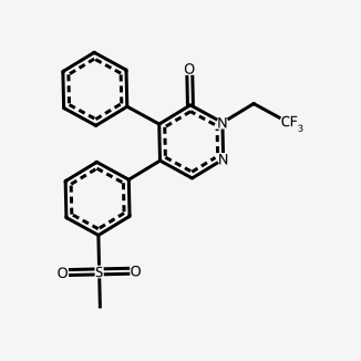 CS(=O)(=O)c1cccc(-c2cnn(CC(F)(F)F)c(=O)c2-c2ccccc2)c1